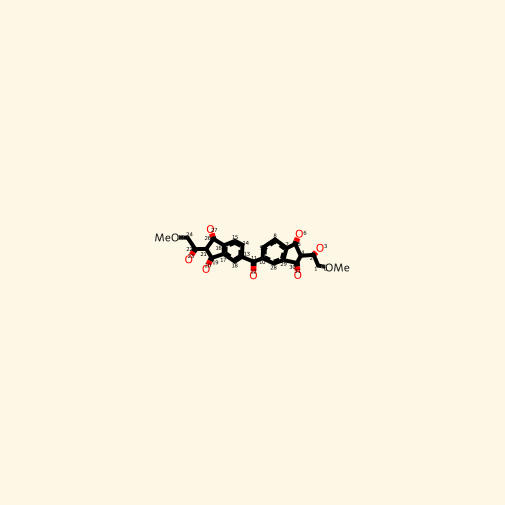 COCC(=O)C1C(=O)c2ccc(C(=O)c3ccc4c(c3)C(=O)C(C(=O)COC)C4=O)cc2C1=O